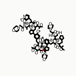 COc1ccc(CC(NC(=O)C(CO)NC(=O)CN2CCOCC2)C(=O)NC(CC2=CCCC2)C(=O)C2(C)CO2)c(C2CCC3C(CC(NC(=O)C(Cc4ccc(OC)c(C5CCC=C5CC(NC(=O)C(Cc5ccnc(OC)c5)NC(=O)C(C)NC(=O)CN5CCOCC5)C(=O)C5(C)CO5)c4)NC(=O)C(C)NC(=O)CN4CCOCC4)C(=O)C4(C)CO4)C23)c1